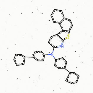 c1ccc(-c2ccc(N(c3ccc(-c4ccccc4)cc3)c3ccc4c(n3)sc3ccc5ccccc5c34)cc2)cc1